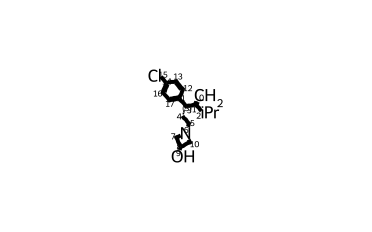 C=C(C(C)C)[C@H](CCN1CC(O)C1)c1ccc(Cl)cc1